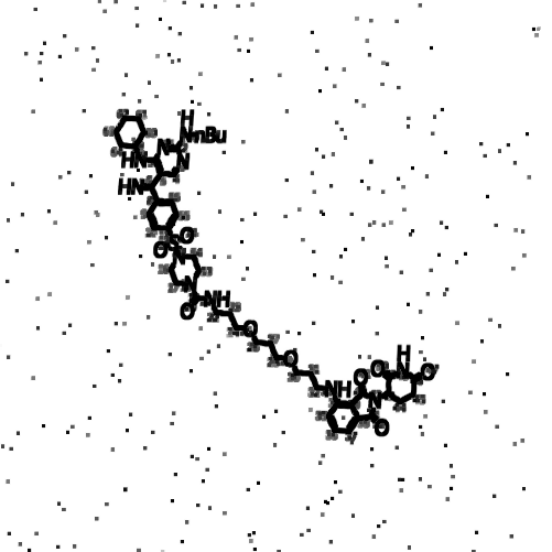 CCCCNc1ncc(C(=N)c2ccc(S(=O)(=O)N3CCN(C(=O)NCCCOCCCOCCCNc4cccc5c4C(=O)N(C4CCC(=O)NC4=O)C5=O)CC3)cc2)c(NC2CCCCC2)n1